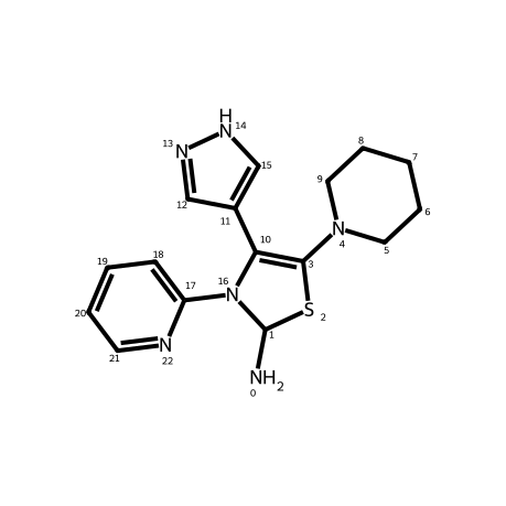 NC1SC(N2CCCCC2)=C(c2cn[nH]c2)N1c1ccccn1